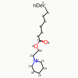 CCCCCCCCCCCCCCCCC(=O)OCCN1CCCCC1